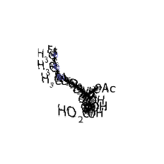 CC/C=C(\C)CC/C=C(\C)CC/C(C)=N/OCCOCCOCCNC(=O)c1cc(COC(C)=O)ccc1O[C@@H]1O[C@H](C(=O)O)[C@@H](O)[C@H](O)[C@H]1O